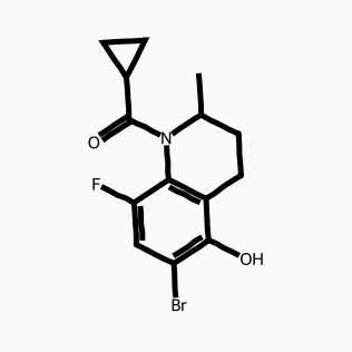 CC1CCc2c(O)c(Br)cc(F)c2N1C(=O)C1CC1